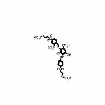 O=C(O)c1cc(O)c(N=Nc2ccc(S(=O)(=O)CCOS(=O)(=O)O)cc2)c(O)c1N=Nc1ccc(S(=O)(=O)CCOS(=O)(=O)O)cc1S(=O)(=O)O